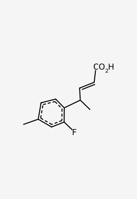 Cc1ccc(C(C)/C=C/C(=O)O)c(F)c1